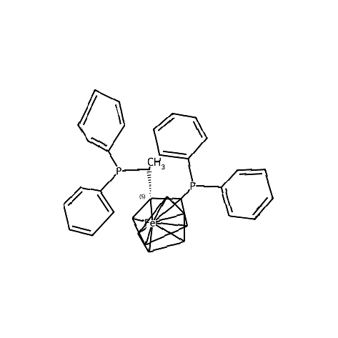 CC(P(c1ccccc1)c1ccccc1)[C@]12[CH]3[CH]4[CH]5[C]1(P(c1ccccc1)c1ccccc1)[Fe]45321678[CH]2[CH]1[CH]6[CH]7[CH]28